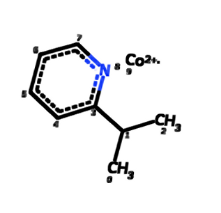 CC(C)c1ccccn1.[Co+2]